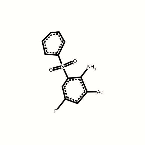 CC(=O)c1cc(F)cc(S(=O)(=O)c2ccccc2)c1N